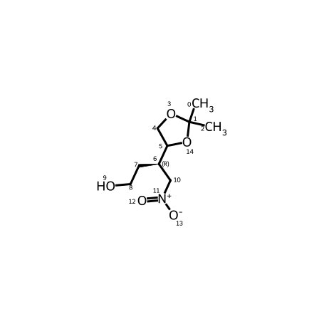 CC1(C)OCC([C@H](CCO)C[N+](=O)[O-])O1